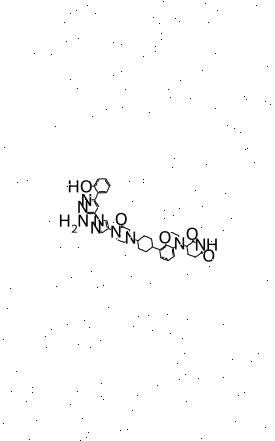 Nc1nnc(-c2ccccc2O)cc1-n1cc(N2CCN(C3CCC(c4cccc5c4OCCN5[C@@H]4CCC(=O)NC4=O)CC3)CC2=O)cn1